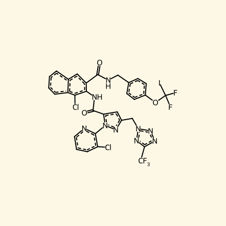 O=C(NCc1ccc(OC(F)(F)I)cc1)c1cc2ccccc2c(Cl)c1NC(=O)c1cc(Cn2nnc(C(F)(F)F)n2)nn1-c1ncccc1Cl